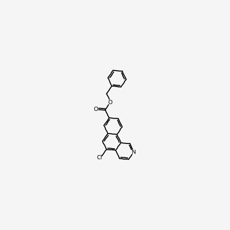 O=C(OCc1ccccc1)c1ccc2c(c1)cc(Cl)c1ccncc12